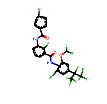 O=C(Nc1cccc(C(=O)Nc2c(Br)cc(C(F)(C(F)(F)F)C(F)(F)F)cc2OC(F)F)c1F)c1ccc(Br)cc1